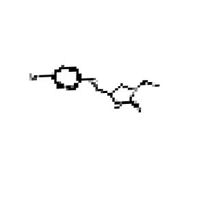 CCN1CC(COc2ccc(Br)cc2)OC1=O